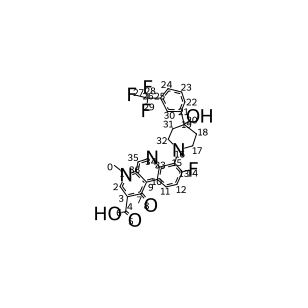 Cn1cc(C(=O)O)c(=O)c2c3ccc(F)c(N4CCC(O)(c5cccc(C(F)(F)F)c5)CC4)c3ncc21